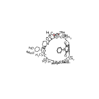 CO[C@H]1C[C@H]2O[C@@](O)(C(=O)C(=O)N3CCCC[C@H]3C(=O)O[C@H](C(C)C[C@@H]3CC[C@@H](O)[C@H](OC)C3)CC(=O)[C@H](C)/C=C(\C)[C@H](O)[C@@H](OC)C(=O)[C@H](C)C[C@H](C)C3C=CC(/C=C/1C)n1c(=O)n(-c4ccccc4)c(=O)n13)[C@H](C)C[C@@H]2OC